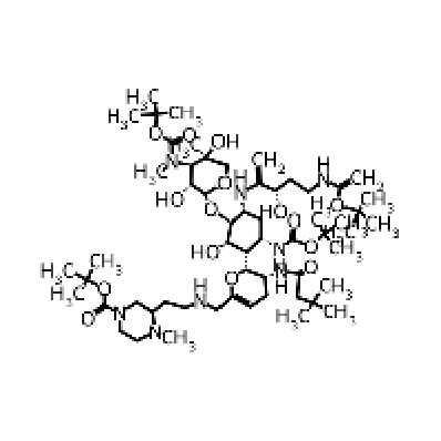 C=C(NCC[C@H](O)C(=C)N[C@@H]1C[C@H](NC(=O)OC(C)(C)C)C([C@H]2OC(CNCCC3CN(C(=O)OC(C)(C)C)CCN3C)=CC[C@H]2NC(=O)CC(C)(C)C)[C@H](O)[C@H]1O[C@H]1OC[C@](C)(O)[C@H](N(C)C(=O)OC(C)(C)C)[C@H]1O)OC(C)(C)C